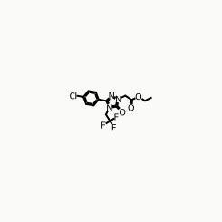 CCOC(=O)Cn1nc(-c2ccc(Cl)cc2)n(CC(F)(F)F)c1=O